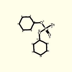 O=[P]([Zn])(OC1CCCCC1)OC1CCCCC1